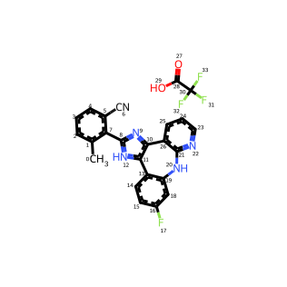 Cc1cccc(C#N)c1-c1nc2c([nH]1)-c1ccc(F)cc1Nc1ncccc1-2.O=C(O)C(F)(F)F